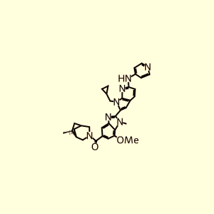 COc1cc(C(=O)N2CC3CC(C2)[C@@H](C)C3)cc2nc(-c3cc4ccc(Nc5ccncc5)nc4n3CC3CC3)n(C)c12